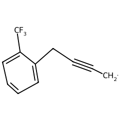 [CH2]C#CCc1ccccc1C(F)(F)F